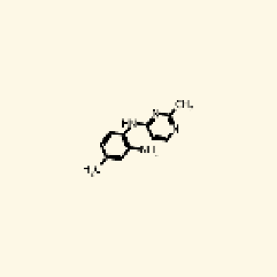 Cc1ccc(Nc2ccnc(C)n2)c(N)c1